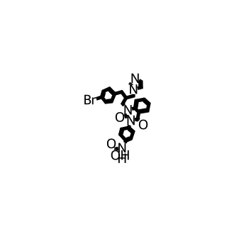 O=C(O)Nc1ccc(-n2c(=O)c3ccccc3n(CC(Cc3ccc(Br)cc3)Cn3ccnc3)c2=O)cc1